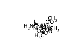 CC(=O)OC[C@H]1O[C@@H](n2cc(I)c(N)nc2=O)[C@H](OC(C)=O)[C@H]1OS(C)(=O)=O